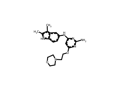 Cc1[nH]c2ccc(Nc3cc(OCCN4CCOCC4)nc(N)n3)cc2c1C